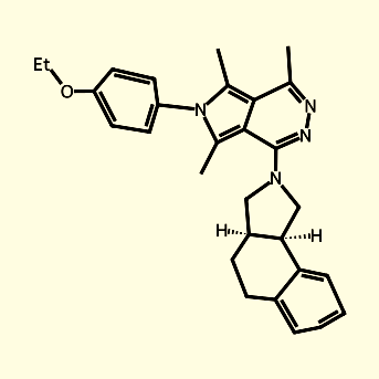 CCOc1ccc(-n2c(C)c3c(C)nnc(N4C[C@@H]5CCc6ccccc6[C@@H]5C4)c3c2C)cc1